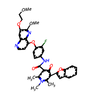 COCCOc1cc2nccc(Oc3ccc(NC(=O)c4c(C)n(C)c(C)c(-c5cc6ccccc6o5)c4=O)cc3F)c2nc1OC